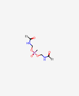 CCC(=O)NCOP(C)(=O)OCNC(=O)CC